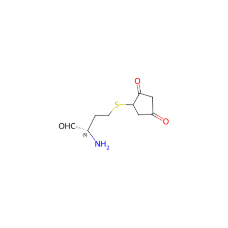 N[C@H](C=O)CCSC1CC(=O)CC1=O